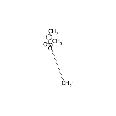 [CH2]CCCCCCCCCCCCCOOC(=O)c1ccc(C)cc1C